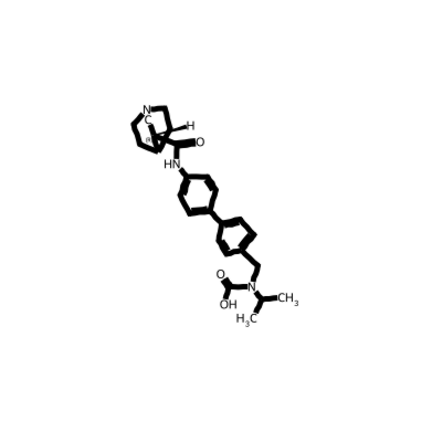 CC(C)N(Cc1ccc(-c2ccc(NC(=O)[C@H]3CN4CCC3CC4)cc2)cc1)C(=O)O